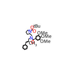 COc1cc(C(=O)N(C/C(C)=C/c2ccccc2)CC2CCCN2C(=O)OC(C)(C)C)cc(OC)c1OC